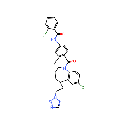 Cc1cc(NC(=O)c2ccccc2Cl)ccc1C(=O)N1CCCC(CCn2ncnn2)c2cc(Cl)ccc21